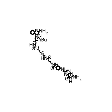 CCCCc1nc2c(N)nc3ccccc3c2n1CC(C)(C)CNC(=O)OCCSSCCNC(=O)CCCNC(=O)c1ccc(NCc2cnc3nc(N)[nH]c(=O)c3n2)cc1